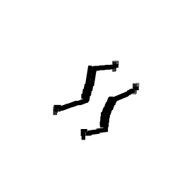 FC=CF.FC=CF